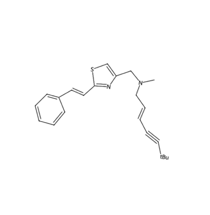 CN(C/C=C/C#CC(C)(C)C)Cc1csc(/C=C/c2ccccc2)n1